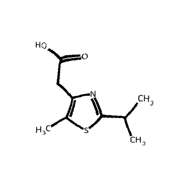 Cc1sc(C(C)C)nc1CC(=O)O